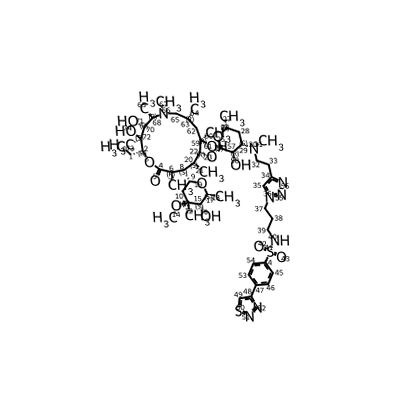 CC[C@H]1OC(=O)[C@H](C)[C@@H](C2C[C@@](C)(OC)[C@@H](O)[C@H](C)O2)[C@H](C)[C@@H](O[C@@H]2O[C@H](C)C[C@H](N(C)CCc3cn(CCCNS(=O)(=O)c4ccc(-c5csnn5)cc4)nn3)[C@H]2O)[C@](C)(O)C[C@@H](C)CN(C)[C@H](C)[C@@H](O)[C@]1(C)O